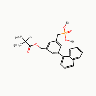 CCOC(=O)C(CC)(NC(C)=O)C(=O)OCc1cc(CP(=O)(OCC)OCC)cc(-c2cccc3ccccc23)c1